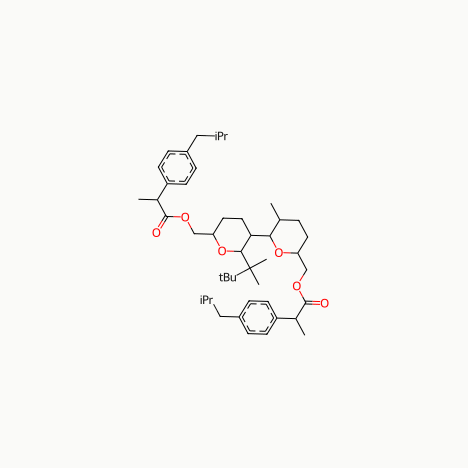 CC(C)Cc1ccc(C(C)C(=O)OCC2CCC(C)C(C3CCC(COC(=O)C(C)c4ccc(CC(C)C)cc4)OC3C(C)(C)C(C)(C)C)O2)cc1